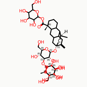 C=C1CC2C3CC4C(CCC[C@@]4(C)C(=O)OC4OC(CO)C(O)C(O)C4O)C2[C@@H](C)C[C@]1(O[C@@H]1O[C@H](CO)[C@@H](O)[C@H](O[C@@H]2O[C@H](CO)[C@@H](O)[C@H](O)[C@H]2O)[C@H]1O[C@H]1O[C@H](C)[C@@H](O)[C@H](O)[C@@H]1O)C3